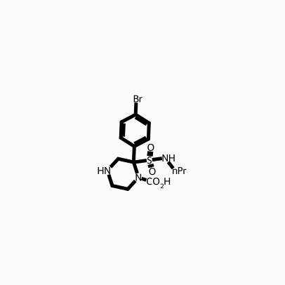 CCCNS(=O)(=O)C1(c2ccc(Br)cc2)CNCCN1C(=O)O